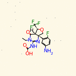 CCN1C(=O)[C@@H]2[C@@H](C(F)(F)F)OC[C@]2(c2cc(N)ccc2F)N=C1NC(=O)O